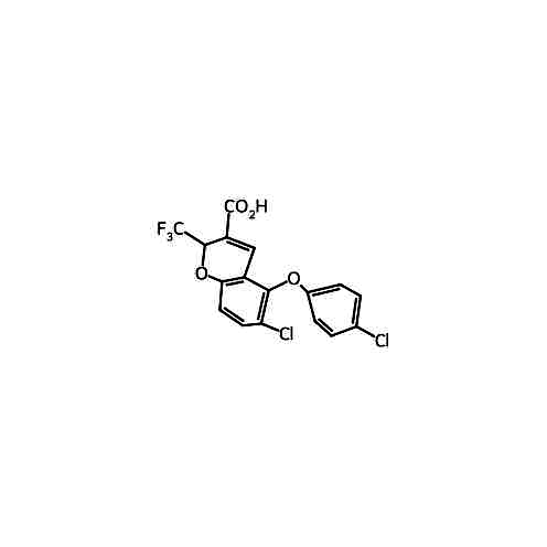 O=C(O)C1=Cc2c(ccc(Cl)c2Oc2ccc(Cl)cc2)OC1C(F)(F)F